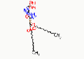 CCCCCCCCCCCCC(=O)OC[C@H](CSC[C@@H](N)C(=O)Nc1cn(C[C@@H](O)CO)nn1)OC(=O)CCCCCCCCCCCC